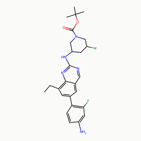 CCc1cc(-c2ccc(N)cc2F)cc2cnc(NC3CC(F)CN(C(=O)OC(C)(C)C)C3)nc12